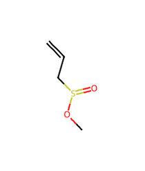 C=CCS(=O)OC